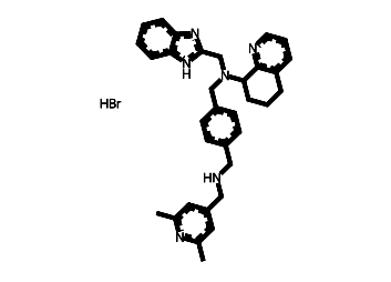 Br.Cc1cc(CNCc2ccc(CN(Cc3nc4ccccc4[nH]3)C3CCCc4cccnc43)cc2)cc(C)n1